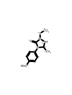 COc1ccc(N2C(=O)N(SC(Cl)(Cl)Cl)NC2C)cc1